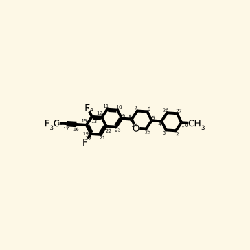 CC1CCC(C2CCC(c3ccc4c(F)c(C#CC(F)(F)F)c(F)cc4c3)OC2)CC1